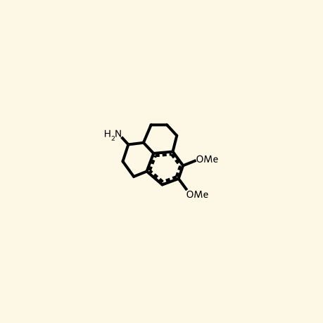 COc1cc2c3c(c1OC)CCCC3C(N)CC2